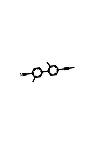 CC#Cc1ccc(-c2ccc(C#N)c(C)c2)c(C)c1